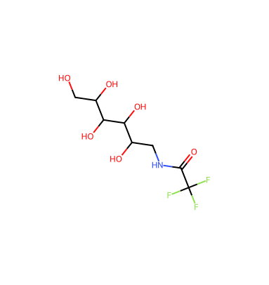 O=C(NCC(O)C(O)C(O)C(O)CO)C(F)(F)F